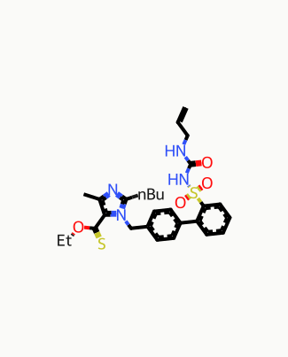 C=CCNC(=O)NS(=O)(=O)c1ccccc1-c1ccc(Cn2c(CCCC)nc(C)c2C(=S)OCC)cc1